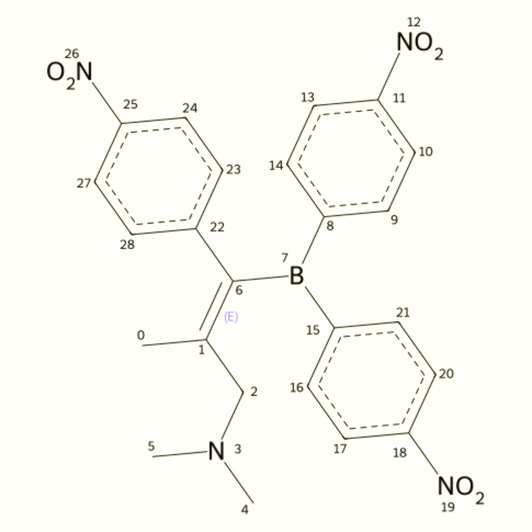 C/C(CN(C)C)=C(/B(c1ccc([N+](=O)[O-])cc1)c1ccc([N+](=O)[O-])cc1)c1ccc([N+](=O)[O-])cc1